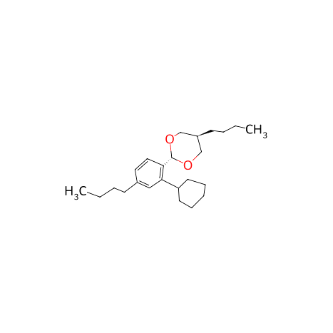 CCCCc1ccc([C@H]2OC[C@H](CCCC)CO2)c(C2CCCCC2)c1